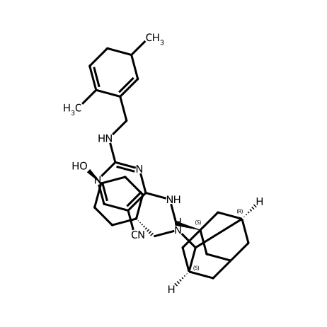 CC1=CCC(C)C=C1CNc1ncc(C#N)c(NC[C@]23CC4C[C@H](C2)C(NC[C@H]2CC[C@H](O)CC2)[C@@H](C4)C3)n1